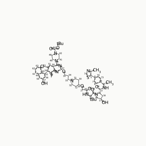 Cc1ncsc1-c1ccc([C@H](C)NC(=O)[C@@H]2C[C@@H](O)CN2C(=O)[C@@H](NC(=O)COC2CCN(CCCOc3nc(N4CCN(C(=O)OC(C)(C)C)CC4)c4cc(Cl)c(-c5cc(O)cc6ccccc56)c(F)c4n3)CC2)C(C)(C)C)cc1